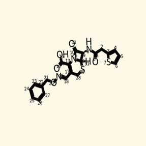 O=C(Cc1cccs1)N[C@@H]1C(=O)N2C(C(=O)O)=C(C=NOCc3ccccc3)CS[C@@H]12